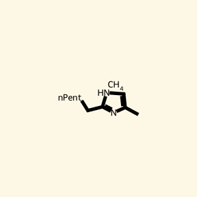 C.CCCCCCc1nc(C)c[nH]1